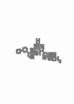 CS(=O)(=O)Nc1cncc(-c2cnc3[nH]nc(-c4nc5c(-c6cccc(Cl)c6)ccnc5[nH]4)c3c2)c1